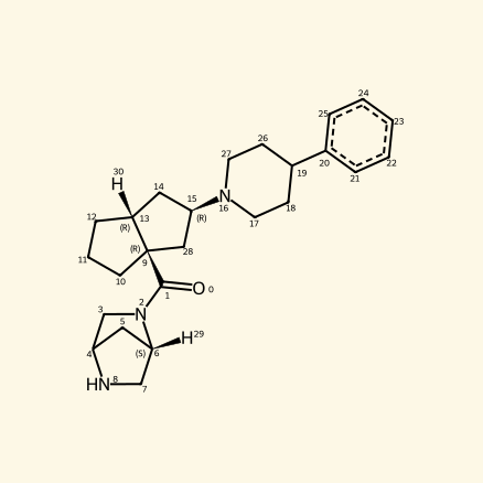 O=C(N1CC2C[C@H]1CN2)[C@@]12CCC[C@@H]1C[C@@H](N1CCC(c3ccccc3)CC1)C2